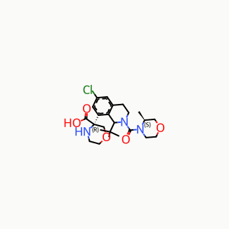 C[C@H]1COCCN1C(=O)N1CCc2cc(Cl)cc([C@]3(C(=O)O)COCCN3)c2C1C(C)(C)C